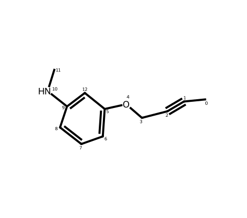 CC#CCOc1cccc(NC)c1